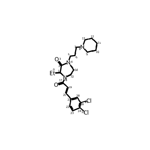 CCC1C(=O)N(CCCN2CCCCC2)CCN1C(=O)/C=C/c1ccc(Cl)c(Cl)c1